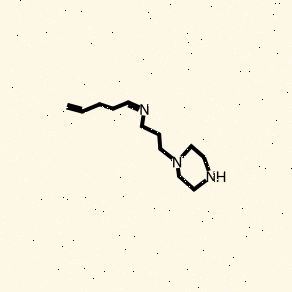 C=CCC/C=N\CCCN1CCNCC1